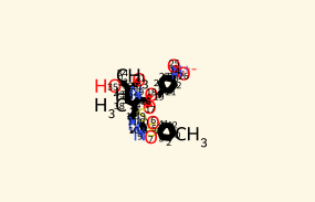 Cc1ccc(S(=O)(=O)c2ncn3cc(C4=C(C(=O)OCc5ccc([N+](=O)[O-])cc5)N5C(=O)[C@H]([C@@H](C)O)[C@H]5[C@H]4C)sc23)cc1